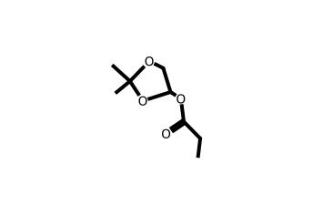 CCC(=O)OC1COC(C)(C)O1